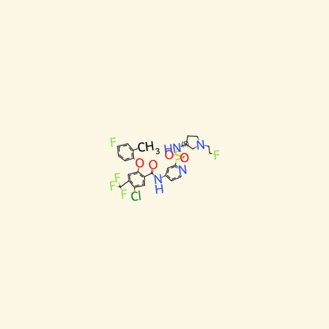 Cc1cc(F)ccc1Oc1cc(C(F)(F)F)c(Cl)cc1C(=O)Nc1ccnc(S(=O)(=O)N[C@H]2CCN(CCF)C2)c1